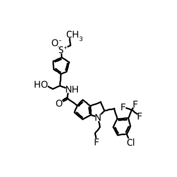 CC[S+]([O-])c1ccc(C(CO)NC(=O)c2ccc3c(c2)CC(Cc2ccc(Cl)cc2C(F)(F)F)N3CCF)cc1